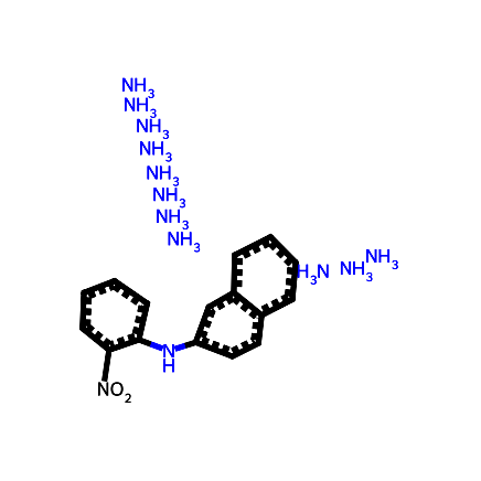 N.N.N.N.N.N.N.N.N.N.N.O=[N+]([O-])c1ccccc1Nc1ccc2ccccc2c1